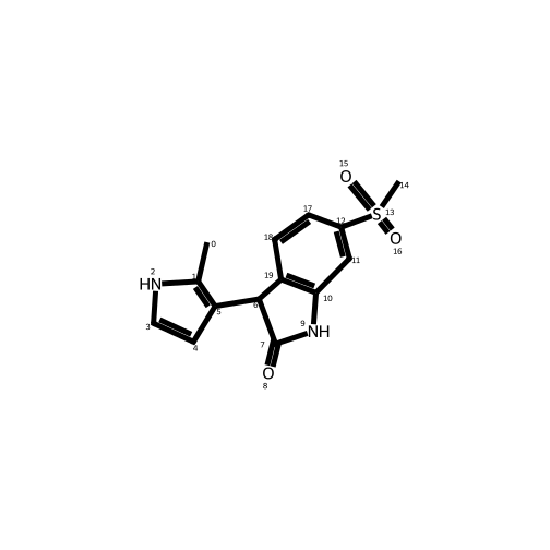 Cc1[nH]ccc1C1C(=O)Nc2cc(S(C)(=O)=O)ccc21